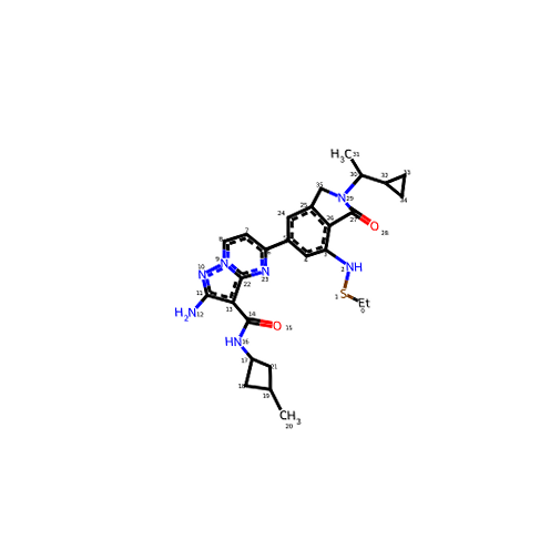 CCSNc1cc(-c2ccn3nc(N)c(C(=O)NC4CC(C)C4)c3n2)cc2c1C(=O)N(C(C)C1CC1)C2